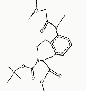 COC(=O)C1c2cccc(N(C)C(=O)CN(C)C)c2CCN1C(=O)OC(C)(C)C